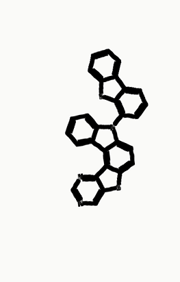 c1ccc2c(c1)sc1c(-n3c4ccccc4c4c5c(ccc43)sc3cncnc35)cccc12